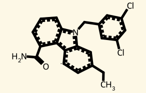 CCc1c[c]c2c3c(C(N)=O)cccc3n(Cc3cc(Cl)cc(Cl)c3)c2c1